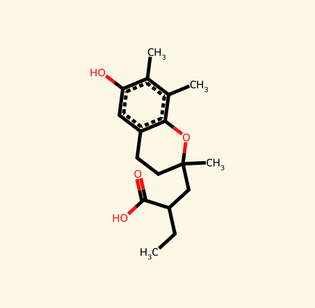 CCC(CC1(C)CCc2cc(O)c(C)c(C)c2O1)C(=O)O